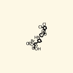 O=C=COc1c(C(=O)O)sc(-c2cccc(NC3CCN(S(=O)(=O)Cc4ccc(Cl)c(Cl)c4)CC3)c2)c1Br